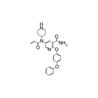 C=CC(=O)N(c1cnc(Oc2ccc(Oc3ccccc3)cc2)c(C(N)=O)c1)C1CCNCC1